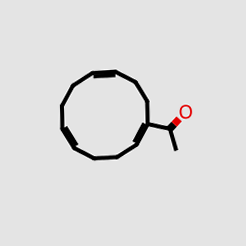 CC(=O)C1=CCCC=CCCC=CCC1